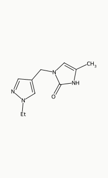 CCn1cc(Cn2cc(C)[nH]c2=O)cn1